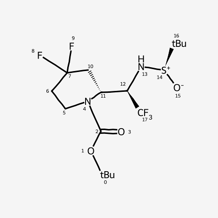 CC(C)(C)OC(=O)N1CCC(F)(F)C[C@@H]1[C@@H](N[S@+]([O-])C(C)(C)C)C(F)(F)F